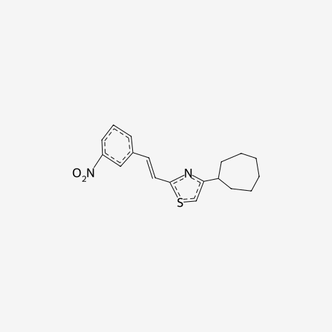 O=[N+]([O-])c1cccc(C=Cc2nc(C3CCCCCC3)cs2)c1